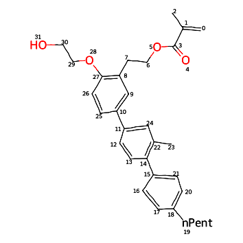 C=C(C)C(=O)OCCc1cc(-c2ccc(-c3ccc(CCCCC)cc3)c(C)c2)ccc1OCCO